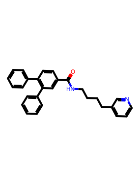 O=C(NCCCCc1cccnc1)c1ccc(-c2ccccc2)c(-c2ccccc2)c1